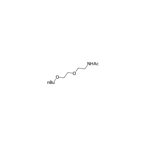 CCCCOCCOCCNC(C)=O